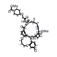 COC(=O)N1CCC(OCC(=O)NS2(=O)=NC(=O)c3ccc4c(c3)N(Cc3ccc(Cl)cc3CCCCO4)C[C@@H]3CC[C@H]3[C@@H](OC)/C=C/C[C@H](C)C2)CC1